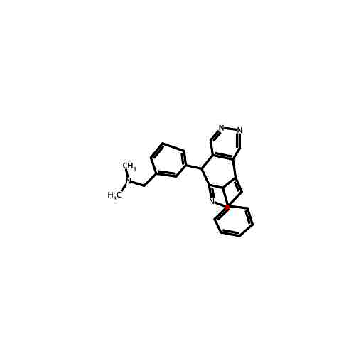 CN(C)Cc1cccc(C2C3=NCC=C(c4cnncc42)C3c2ccccc2)c1